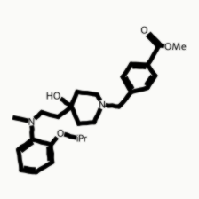 COC(=O)c1ccc(CN2CCC(O)(CCN(C)c3ccccc3OC(C)C)CC2)cc1